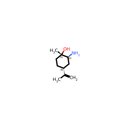 C=C(C)[C@@H]1CC[C@](C)(O)[C@@H](N)C1